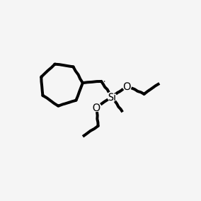 CCO[Si](C)([CH]C1CCCCCC1)OCC